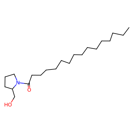 CCCCCCCCCCCCCCCC(=O)N1CCCC1CO